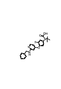 CC(C)(C)N(C(=O)O)c1ccc(Oc2ccnc(NCc3ccccc3)c2)c(F)c1